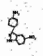 Nc1ccc(-c2n[nH]c3ccc([N+](=O)[O-])cc23)cc1